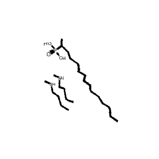 CCCCCCCCCCCCCC(C)P(=O)(O)O.CCCCNC.CCCCNC